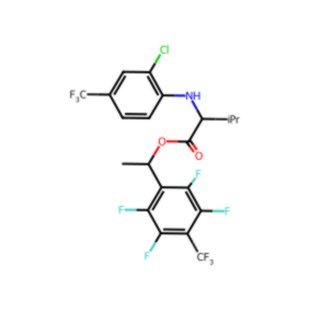 CC(OC(=O)C(Nc1ccc(C(F)(F)F)cc1Cl)C(C)C)c1c(F)c(F)c(C(F)(F)F)c(F)c1F